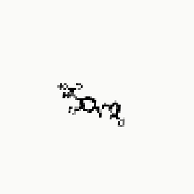 CN(Cc1ccc(Cl)s1)c1ccc(NC(=O)O)c(Cl)c1